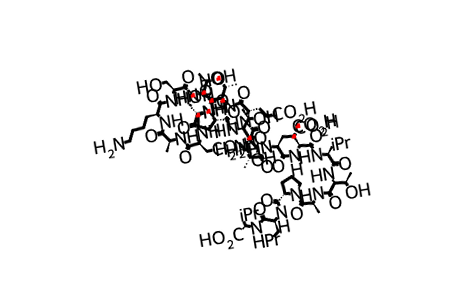 CC(C)C[C@H](NC(=O)[C@@H]1CCCN1C(=O)[C@H](C)NC(=O)[C@@H](NC(=O)[C@@H](NC(=O)[C@H](CC(=O)O)NC(=O)[C@H](CCC(=O)O)NC(=O)[C@H](C)NC(=O)[C@@H](NC(=O)[C@@H]1CCCN1C(=O)[C@@H](NC(=O)[C@H](CO)NC(=O)[C@H](CCCCN)NC(=O)[C@H](C)NC(=O)[C@H](CC(=O)O)NC(=O)[C@H](CO)NC(=O)[C@@H](NC(=O)[C@H](CCC(=O)O)NC(=O)[C@@H](N)CO)[C@@H](C)O)[C@@H](C)O)[C@@H](C)O)C(C)C)[C@@H](C)O)C(=O)N[C@H](C(=O)O)C(C)C